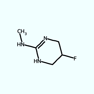 CNC1=NCC(F)CN1